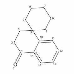 O=C1CCC2(CCCCC2)c2ccccc21